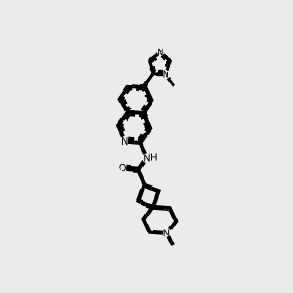 CN1CCC2(CC1)CC(C(=O)Nc1cc3cc(-c4cncn4C)ccc3cn1)C2